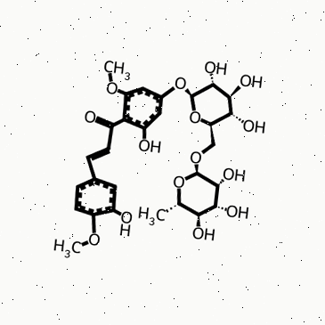 COc1ccc(/C=C/C(=O)c2c(O)cc(O[C@@H]3O[C@H](CO[C@@H]4O[C@@H](C)[C@H](O)[C@@H](O)[C@H]4O)[C@@H](O)[C@H](O)[C@H]3O)cc2OC)cc1O